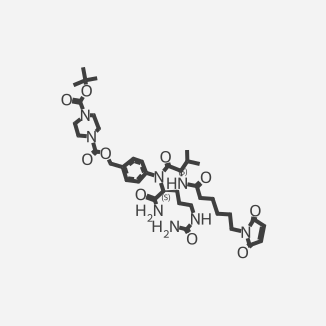 CC(C)[C@H](NC(=O)CCCCCN1C(=O)C=CC1=O)C(=O)N(c1ccc(COC(=O)N2CCN(C(=O)OC(C)(C)C)CC2)cc1)[C@@H](CCCNC(N)=O)C(N)=O